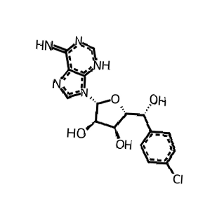 N=c1nc[nH]c2c1ncn2[C@@H]1O[C@H]([C@H](O)c2ccc(Cl)cc2)[C@@H](O)[C@H]1O